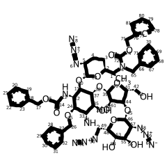 C[C@H]([C@@H]1CC[C@@H](N=[N+]=[N-])[C@@H](O[C@@H]2[C@@H](NC(=O)OCc3ccccc3)[C@H](OCc3ccccc3)[C@@H](N)[C@H](O)[C@H]2O[C@@H]2O[C@H](CO)[C@@H](O[C@H]3O[C@@H](CN=[N+]=[N-])[C@@H](O)[C@H](O)[C@H]3N=[N+]=[N-])[C@H]2O)O1)N(Cc1ccccc1)C(=O)OCc1ccccc1